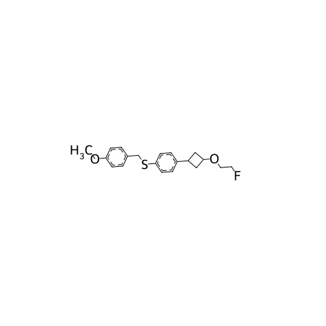 COc1ccc(CSc2ccc(C3CC(OCCF)C3)cc2)cc1